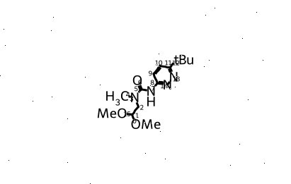 COC(CN(C)C(=O)Nc1ccc(C(C)(C)C)nn1)OC